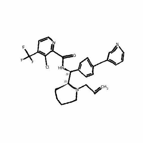 C=CCN1CCCC[C@H]1[C@@H](NC(=O)c1nccc(C(F)(F)F)c1Cl)c1ccc(-c2cccnc2)cc1